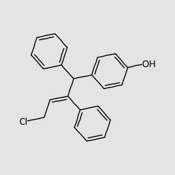 Oc1ccc(C(C(=CCCl)c2ccccc2)c2ccccc2)cc1